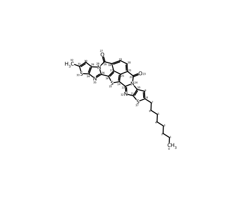 CCCCCCCCc1cc2c(nc3c4sc5c6c(ccc(c(=O)n23)c46)c(=O)n2c3cc(C)sc3nc52)s1